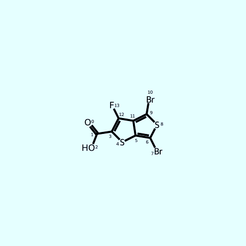 O=C(O)c1sc2c(Br)sc(Br)c2c1F